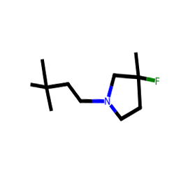 CC(C)(C)CCN1CCC(C)(F)C1